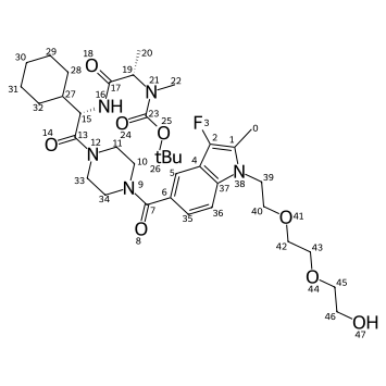 Cc1c(F)c2cc(C(=O)N3CCN(C(=O)[C@@H](NC(=O)[C@H](C)N(C)C(=O)OC(C)(C)C)C4CCCCC4)CC3)ccc2n1CCOCCOCCO